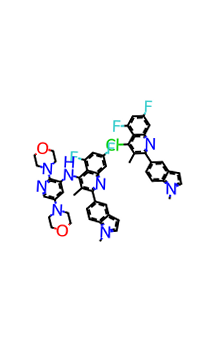 Cc1c(-c2ccc3c(ccn3C)c2)nc2cc(F)cc(F)c2c1Cl.Cc1c(-c2ccc3c(ccn3C)c2)nc2cc(F)cc(F)c2c1Nc1cc(N2CCOCC2)cnc1N1CCOCC1